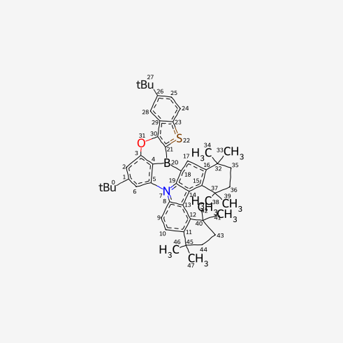 CC(C)(C)c1cc2c3c(c1)-n1c4ccc5c(c4c4c6c(cc(c41)B3c1sc3ccc(C(C)(C)C)cc3c1O2)C(C)(C)CCC6(C)C)C(C)(C)CCC5(C)C